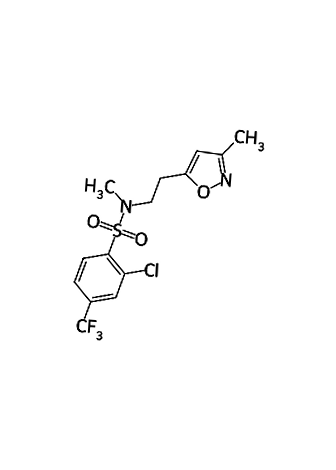 Cc1cc(CCN(C)S(=O)(=O)c2ccc(C(F)(F)F)cc2Cl)on1